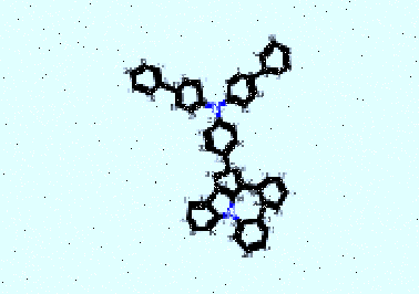 c1ccc(-c2ccc(N(c3ccc(-c4ccccc4)cc3)c3ccc(-c4cc5c6c(c4)c4ccccc4n6-c4ccccc4-c4ccccc4-5)cc3)cc2)cc1